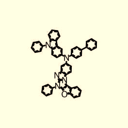 c1ccc(-c2ccc(N(c3ccc4c(c3)nc3n(-c5ccccc5)c5oc6ccccc6c5n43)c3ccc4c(c3)c3ccccc3n4-c3ccccc3)cc2)cc1